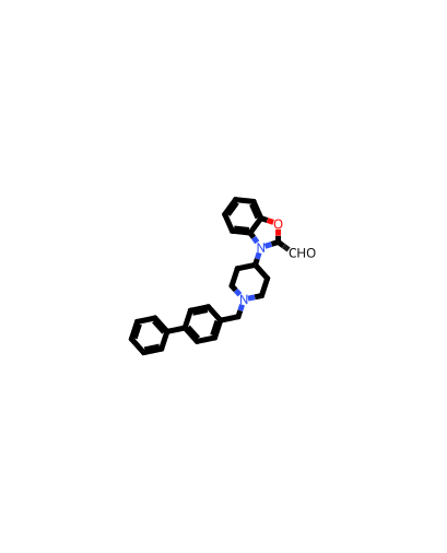 O=CC1Oc2ccccc2N1C1CCN(Cc2ccc(-c3ccccc3)cc2)CC1